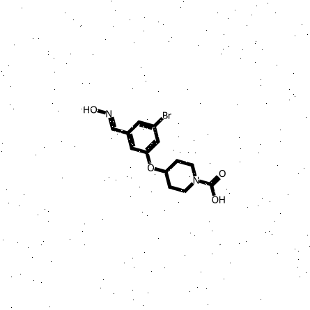 O=C(O)N1CCC(Oc2cc(Br)cc(C=NO)c2)CC1